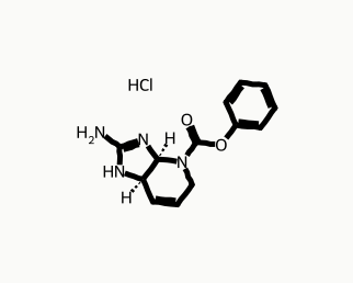 Cl.NC1=N[C@@H]2[C@@H](C=CCN2C(=O)Oc2ccccc2)N1